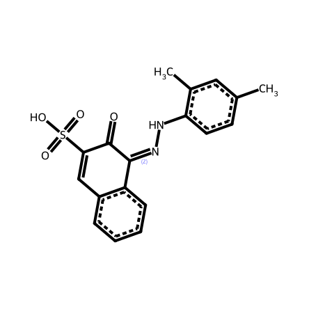 Cc1ccc(N/N=C2\C(=O)C(S(=O)(=O)O)=Cc3ccccc32)c(C)c1